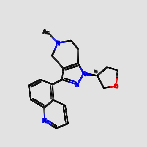 CC(=O)N1CCc2c(c(-c3cccc4ncccc34)nn2[C@H]2CCOC2)C1